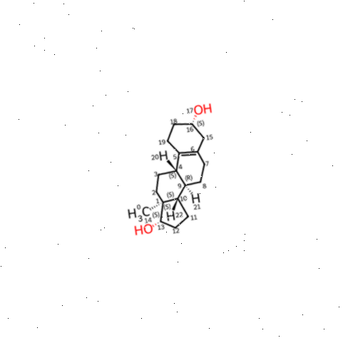 C[C@]12CC[C@@H]3C4=C(CC[C@H]3[C@@H]1CC[C@@H]2O)C[C@@H](O)CC4